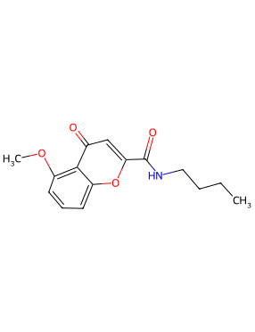 CCCCNC(=O)c1cc(=O)c2c(OC)cccc2o1